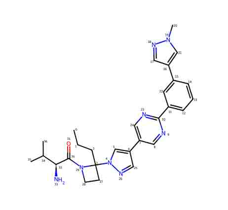 CCCC1(n2cc(-c3cnc(-c4cccc(-c5cnn(C)c5)c4)nc3)cn2)CCN1C(=O)[C@@H](N)C(C)C